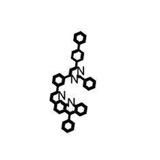 C1=CC(c2cc(-c3cccc(-c4ccc5ccc6c(-c7ccccc7)c7ccccc7nc6c5n4)c3)nc(-c3ccccc3)n2)CC=C1c1ccccc1